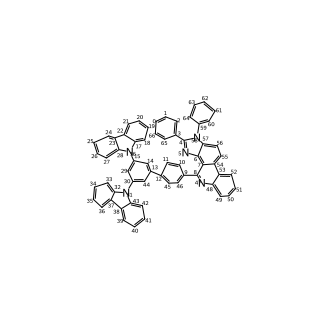 c1ccc(-c2nc3c4c(-c5ccc(-c6cc(-n7c8ccccc8c8ccccc87)cc(-n7c8ccccc8c8ccccc87)c6)cc5)nc5ccccc5c4ccc3n2-c2ccccc2)cc1